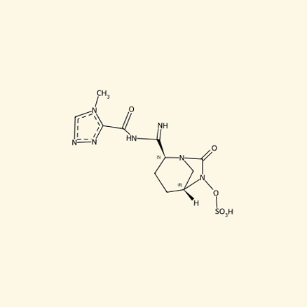 Cn1cnnc1C(=O)NC(=N)[C@@H]1CC[C@@H]2CN1C(=O)N2OS(=O)(=O)O